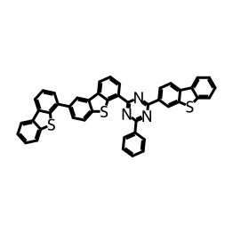 c1ccc(-c2nc(-c3ccc4c(c3)sc3ccccc34)nc(-c3cccc4c3sc3ccc(-c5cccc6c5sc5ccccc56)cc34)n2)cc1